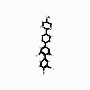 CCCC1COC(C2CCC(c3cc(F)c(-c4ccc(Cl)c(F)c4)c(F)c3)CC2)OC1